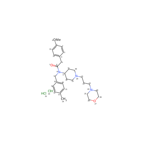 COc1ccc(CC(=O)N(Cc2ccc(C)cc2)C2CCN(CCCN3CCOCC3)CC2)cc1.Cl.Cl